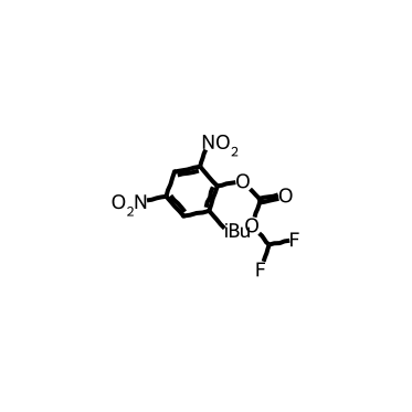 CCC(C)c1cc([N+](=O)[O-])cc([N+](=O)[O-])c1OC(=O)OC(F)F